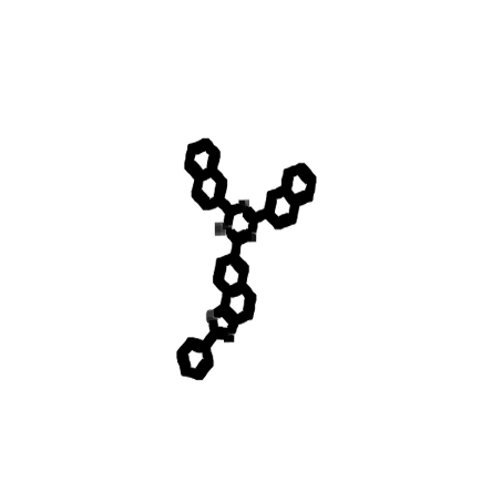 c1ccc(-c2nc3ccc4cc(C5=NC(c6ccc7ccccc7c6)=NC(c6ccc7ccccc7c6)N5)ccc4c3o2)cc1